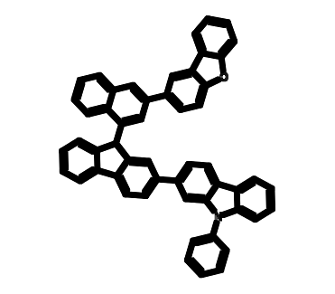 c1ccc(-n2c3ccccc3c3ccc(-c4ccc5c(c4)C(c4cc(-c6ccc7oc8ccccc8c7c6)cc6ccccc46)c4ccccc4-5)cc32)cc1